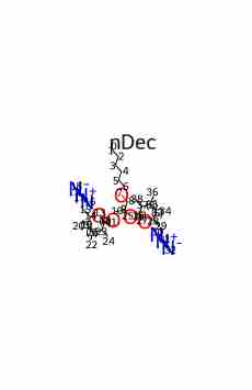 CCCCCCCCCCCCCCCCOCC(CO[C@@H]1OC(CN=[N+]=[N-])[C@@H](C)[C@H](C)C1C)O[C@@H]1OC(CN=[N+]=[N-])[C@@H](C)[C@H](C)C1C